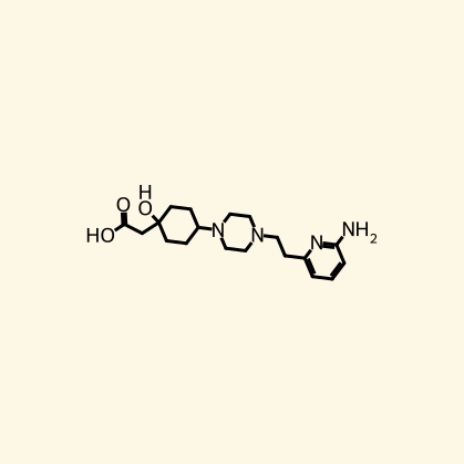 Nc1cccc(CCN2CCN(C3CCC(O)(CC(=O)O)CC3)CC2)n1